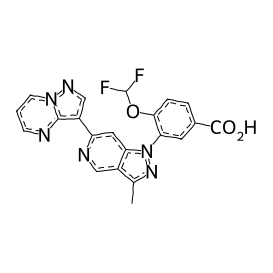 Cc1nn(-c2cc(C(=O)O)ccc2OC(F)F)c2cc(-c3cnn4cccnc34)ncc12